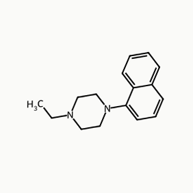 CCN1CCN(c2cccc3ccccc23)CC1